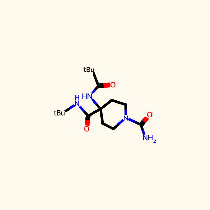 CC(C)(C)NC(=O)C1(NC(=O)C(C)(C)C)CCN(C(N)=O)CC1